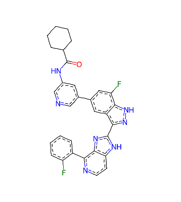 O=C(Nc1cncc(-c2cc(F)c3[nH]nc(-c4nc5c(-c6ccccc6F)nccc5[nH]4)c3c2)c1)C1CCCCC1